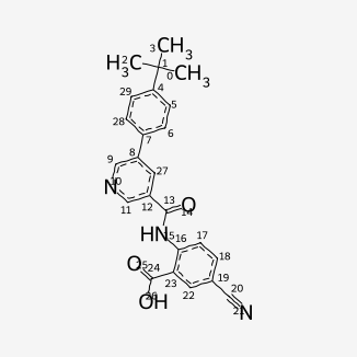 CC(C)(C)c1ccc(-c2cncc(C(=O)Nc3ccc(C#N)cc3C(=O)O)c2)cc1